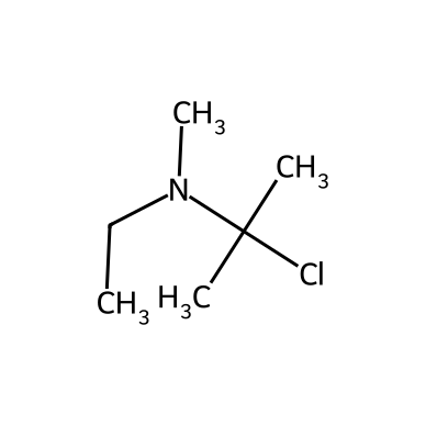 CCN(C)C(C)(C)Cl